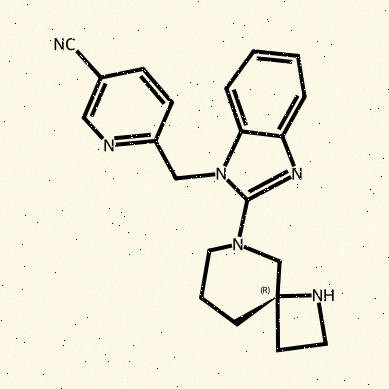 N#Cc1ccc(Cn2c(N3CCC[C@@]4(CCN4)C3)nc3ccccc32)nc1